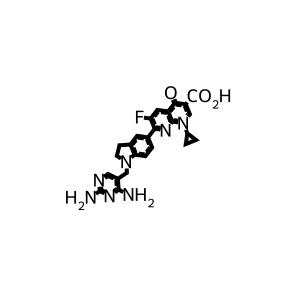 Nc1ncc(CN2CCc3cc(-c4nc5c(cc4F)c(=O)c(C(=O)O)cn5C4CC4)ccc32)c(N)n1